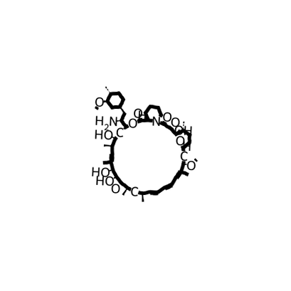 CO[C@H]1C[C@@H]2CC[C@@H](C)[C@@](O)(O2)C(=O)C(=O)N2CCCC[C@H]2C(=O)O[C@H]([C@H](N)C[C@@H]2CC[C@@H](C)[C@H](OC)C2)C[C@@H](O)[C@H](C)/C=C(\C)[C@@H](O)[C@@H](O)C(=O)[C@H](C)C[C@H](C)/C=C/C=C/C=C/1C